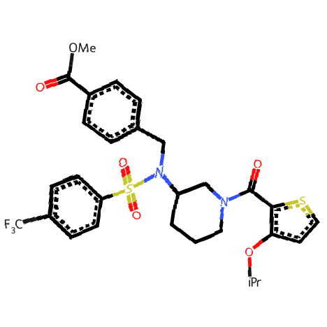 COC(=O)c1ccc(CN(C2CCCN(C(=O)c3sccc3OC(C)C)C2)S(=O)(=O)c2ccc(C(F)(F)F)cc2)cc1